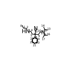 CCCNCCC(C#N)(CCN(C(C)C)C(C)C)c1ccccc1